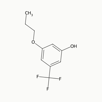 CCCOc1cc(O)cc(C(F)(F)F)c1